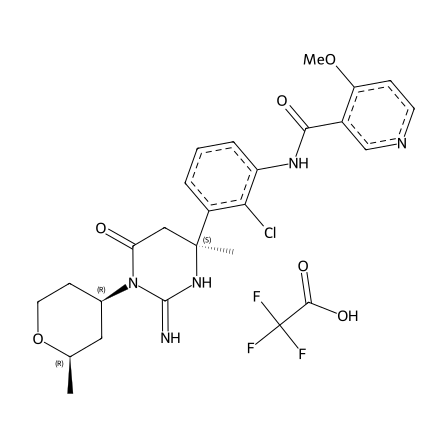 COc1ccncc1C(=O)Nc1cccc([C@]2(C)CC(=O)N([C@@H]3CCO[C@H](C)C3)C(=N)N2)c1Cl.O=C(O)C(F)(F)F